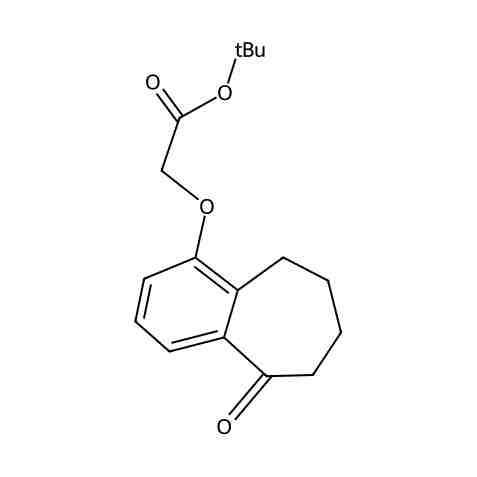 CC(C)(C)OC(=O)COc1cccc2c1CCCCC2=O